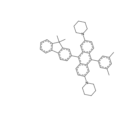 Cc1cc(C)cc(-c2c3ccc(N4CCCCC4)cc3c(-c3ccc4c(c3)C(C)(C)c3ccccc3-4)c3ccc(N4CCCCC4)cc23)c1